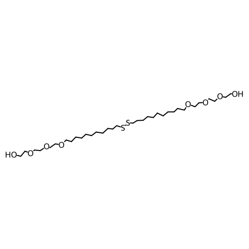 OCCOCCOCCOCCCCCCCCCCCSSCCCCCCCCCCCOCCOCCOCCO